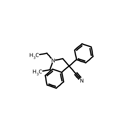 CCN(CC)CC(C#N)(c1ccccc1)c1ccccc1